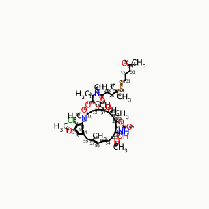 COc1cc2cc(c1Cl)N(C)C(=O)C[C@H](OC(=O)[C@H](C)N(C)C(=O)CCC(C)(C)SSCCCC(C)=O)[C@]1(C)O[C@H]1[C@H](C)[C@@H]1C[C@@](O)(NC(=O)O1)[C@H](OC)/C=C/C=C(\C)C2